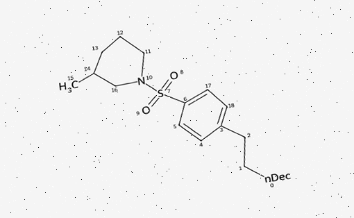 CCCCCCCCCCCCc1ccc(S(=O)(=O)N2CCCC(C)C2)cc1